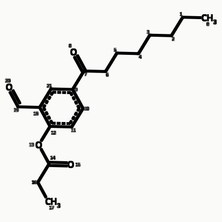 CCCCCCCC(=O)c1ccc(OC(=O)CC)c(C=O)c1